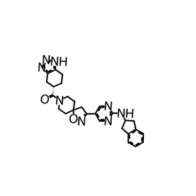 O=C([C@H]1CCc2[nH]nnc2C1)N1CCC2(CC1)CC(c1cnc(NC3Cc4ccccc4C3)nc1)=NO2